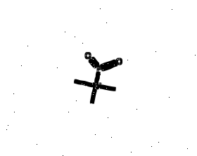 C[N+](C)(C)P(=O)=O